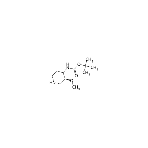 CO[C@H]1CNCCC1NC(=O)OC(C)(C)C